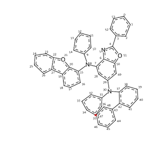 c1ccc(-c2nc3c(N(c4ccccc4)c4cccc5c4oc4ccccc45)cc(N(c4ccccc4)c4ccccc4-c4ccccc4)cc3o2)cc1